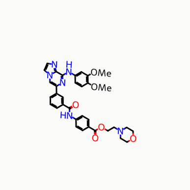 COc1ccc(Nc2nc(-c3cccc(C(=O)Nc4ccc(C(=O)OCCN5CCOCC5)cc4)c3)cn3ccnc23)cc1OC